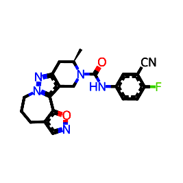 C[C@@H]1Cc2nn3c(c2CN1C(=O)Nc1ccc(F)c(C#N)c1)-c1oncc1CCC3